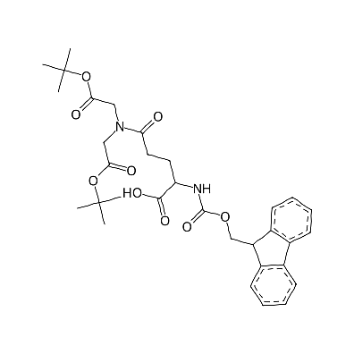 CC(C)(C)OC(=O)CN(CC(=O)OC(C)(C)C)C(=O)CCC(NC(=O)OCC1c2ccccc2-c2ccccc21)C(=O)O